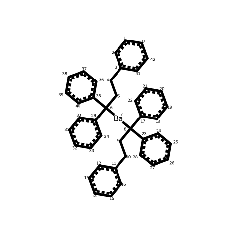 c1ccc(CC[C]([Ba][C](CCc2ccccc2)(c2ccccc2)c2ccccc2)(c2ccccc2)c2ccccc2)cc1